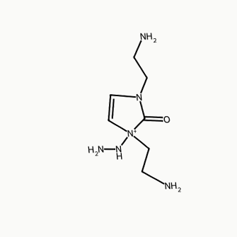 NCCN1C=C[N+](CCN)(NN)C1=O